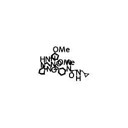 COc1cc(Nc2nc3ccccc3nc2NS(=O)(=O)c2cccc(NC(=O)CNCC3CC3)c2)cc(OC)c1